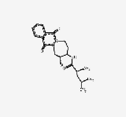 CC(C)C[C@H](N)C(=O)NC1CCn2c(=O)c3ccccc3c(=O)n2CC1O